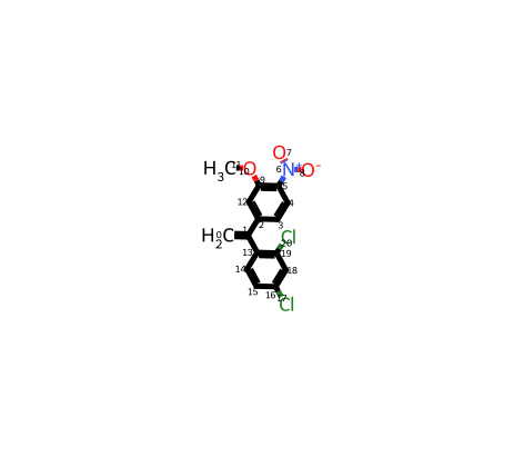 C=C(c1ccc([N+](=O)[O-])c(OC)c1)c1ccc(Cl)cc1Cl